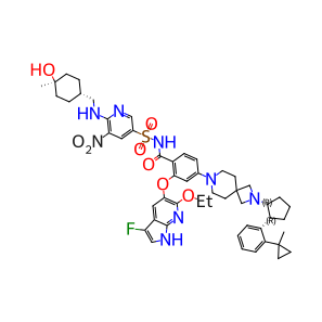 CCOc1nc2[nH]cc(F)c2cc1Oc1cc(N2CCC3(CC2)CN([C@@H]2CCC[C@@H]2c2ccccc2C2(C)CC2)C3)ccc1C(=O)NS(=O)(=O)c1cnc(NC[C@H]2CC[C@](C)(O)CC2)c([N+](=O)[O-])c1